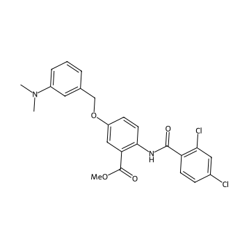 COC(=O)c1cc(OCc2cccc(N(C)C)c2)ccc1NC(=O)c1ccc(Cl)cc1Cl